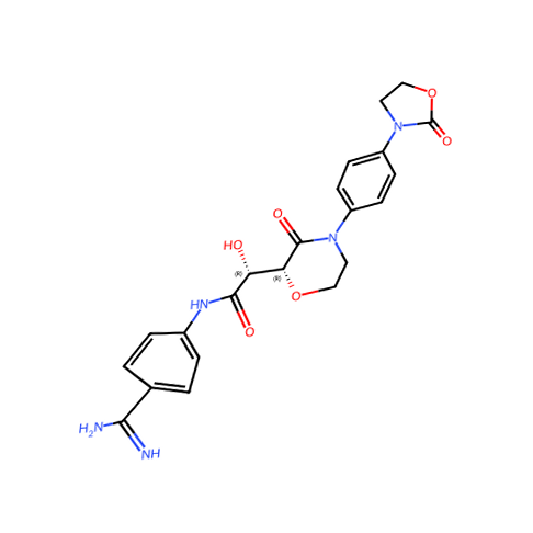 N=C(N)c1ccc(NC(=O)[C@H](O)[C@H]2OCCN(c3ccc(N4CCOC4=O)cc3)C2=O)cc1